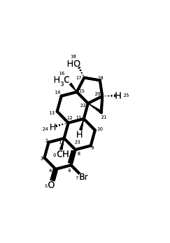 C[C@]12CCC(=O)C(Br)=C1CC[C@@H]1[C@@H]2CC[C@]2(C)[C@H](O)C[C@H]3C[C@@]312